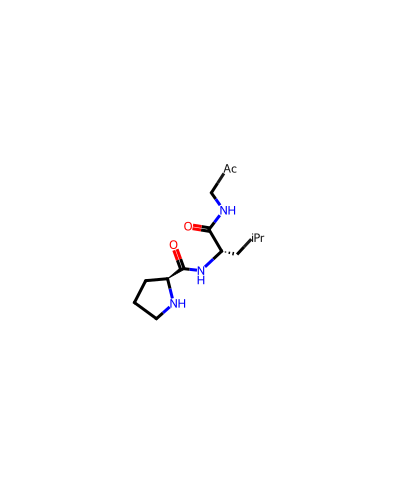 CC(=O)CNC(=O)[C@H](CC(C)C)NC(=O)[C@@H]1CCCN1